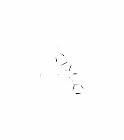 O=C(O)Cn1c(C(=O)Nc2ccccc2)cc2cc([N+](=O)[O-])ccc21